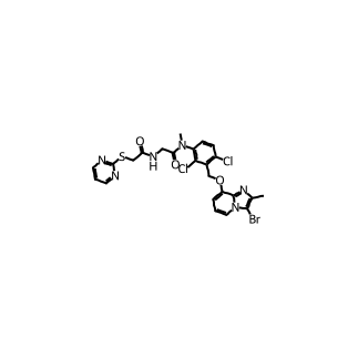 Cc1nc2c(OCc3c(Cl)ccc(N(C)C(=O)CNC(=O)CSc4ncccn4)c3Cl)cccn2c1Br